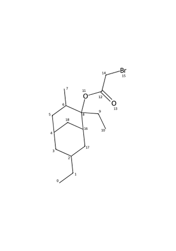 CCC1CC2CC(C)C(CC)(OC(=O)CBr)C(C1)C2